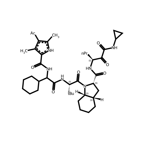 CCC[C@H](NC(=O)[C@@H]1C[C@@H]2CCCC[C@@H]2N1C(=O)[C@@H](NC(=O)C(NC(=O)c1[nH]c(C)c(C(C)=O)c1C)C1CCCCC1)C(C)(C)C)C(=O)C(=O)NC1CC1